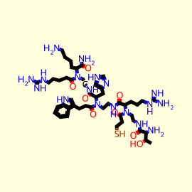 CC(O)C(N)C(=O)NCCN(C(=O)CCS)C(CCCNC(=N)N)C(=O)NCCN(C(=O)CCc1c[nH]c2ccccc12)C(Cc1c[nH]cn1)C(=O)NCCN(C(=O)CCCCNC(=N)N)C(CCCCN)C(N)=O